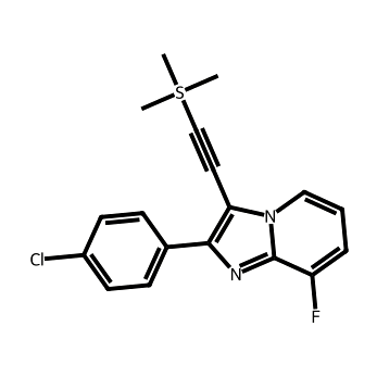 CS(C)(C)C#Cc1c(-c2ccc(Cl)cc2)nc2c(F)cccn12